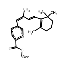 CCCCCCCCCCOC(=O)c1ccc(C=C(C)C=CC2=C(C)CCCC2(C)C)cn1